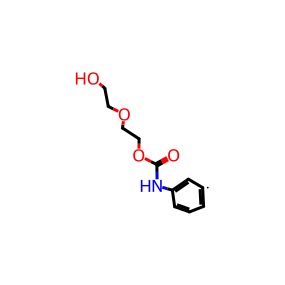 O=C(Nc1c[c]ccc1)OCCOCCO